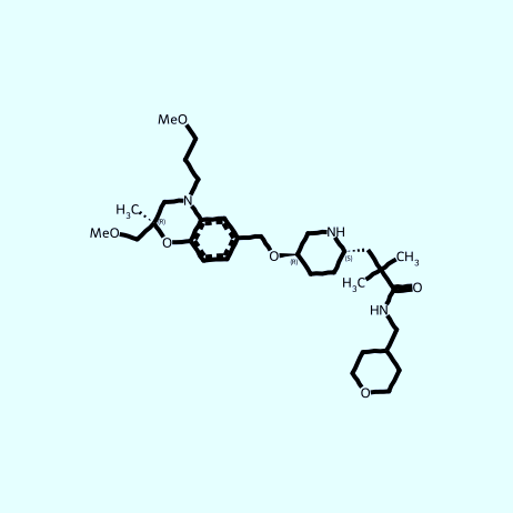 COCCCN1C[C@](C)(COC)Oc2ccc(CO[C@@H]3CC[C@@H](CC(C)(C)C(=O)NCC4CCOCC4)NC3)cc21